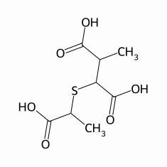 CC(SC(C(=O)O)C(C)C(=O)O)C(=O)O